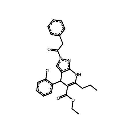 CCCC1=C(C(=O)OCC)C(c2ccccc2Cl)c2cn(C(=O)Cc3ccccc3)nc2N1